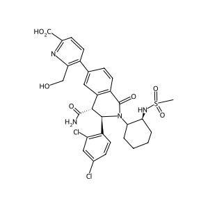 CS(=O)(=O)N[C@H]1CCCCC1N1C(=O)c2ccc(-c3ccc(C(=O)O)nc3CO)cc2[C@@H](C(N)=O)[C@@H]1c1ccc(Cl)cc1Cl